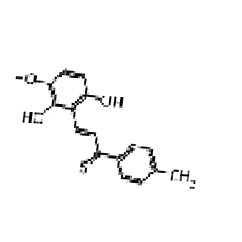 Cc1ccc(C(=S)C=Cc2c(O)ccc(O)c2O)cc1